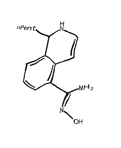 CCCCCC1NC=Cc2c(/C(N)=N/O)cccc21